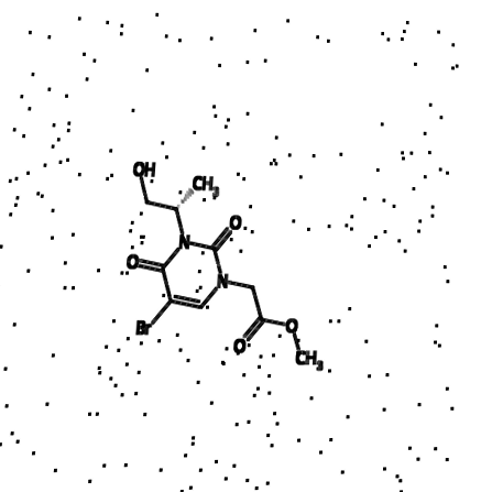 COC(=O)Cn1cc(Br)c(=O)n([C@@H](C)CO)c1=O